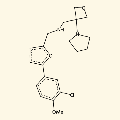 COc1ccc(-c2ccc(CNCC3(N4CCCC4)COC3)o2)cc1Cl